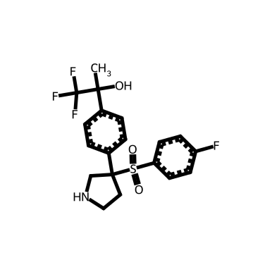 CC(O)(c1ccc(C2(S(=O)(=O)c3ccc(F)cc3)CCNC2)cc1)C(F)(F)F